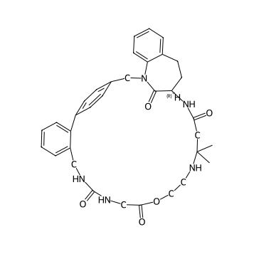 CC1(C)CC(=O)N[C@@H]2CCc3ccccc3N(Cc3ccc(cc3)-c3ccccc3CNC(=O)NCC(=O)OCCN1)C2=O